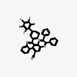 N#Cc1cc2nc(-c3ccccc3)c(-c3ccccc3)nc2c2c(-c3cccc(-c4c(F)c(F)c(F)c(F)c4F)c3)nc3ccccc3c12